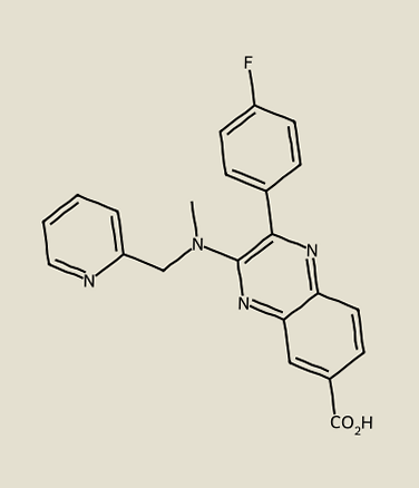 CN(Cc1ccccn1)c1nc2cc(C(=O)O)ccc2nc1-c1ccc(F)cc1